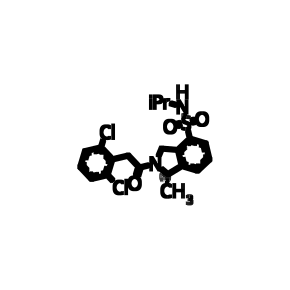 CC(C)NS(=O)(=O)c1cccc2c1CN(C(=O)Cc1c(Cl)cccc1Cl)[C@H]2C